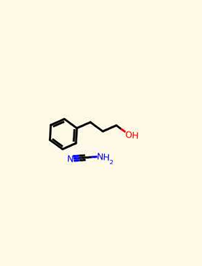 N#CN.OCCCc1ccccc1